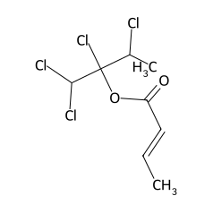 C/C=C/C(=O)OC(Cl)(C(C)Cl)C(Cl)Cl